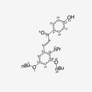 CCCCOc1cc(C=CC(=O)c2ccc(O)cc2)c(CCC)c(OCCCC)c1